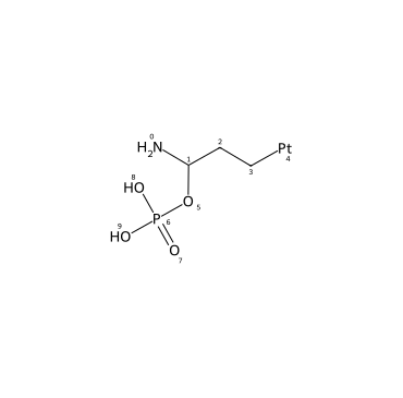 NC(C[CH2][Pt])OP(=O)(O)O